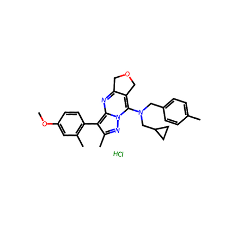 COc1ccc(-c2c(C)nn3c(N(Cc4ccc(C)cc4)CC4CC4)c4c(nc23)COC4)c(C)c1.Cl